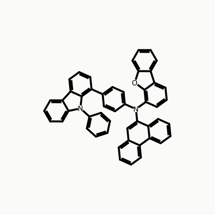 c1ccc(-n2c3ccccc3c3cccc(-c4ccc(N(c5cc6ccccc6c6ccccc56)c5cccc6c5oc5ccccc56)cc4)c32)cc1